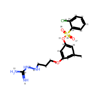 Cc1cc(OCCCNNC(=N)N)cc(OS(=O)(=O)c2ccccc2Cl)c1